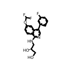 OC[C@H](O)CNc1ncc(-c2cccc(F)c2)c2cc(OC(F)F)ccc12